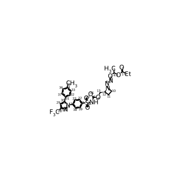 CCC(=O)OC(C)ON=NN1CC[C@H]1COC(=O)NS(=O)(=O)c1ccc(-n2nc(C(F)(F)F)cc2-c2ccc(C)cc2)cc1